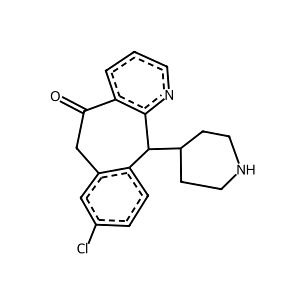 O=C1Cc2cc(Cl)ccc2C(C2CCNCC2)c2ncccc21